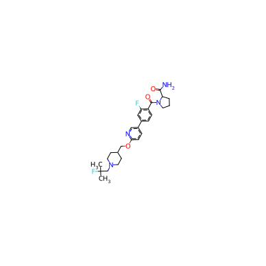 CC(C)(F)CN1CCC(COc2ccc(-c3ccc(C(=O)N4CCCC4C(N)=O)c(F)c3)cn2)CC1